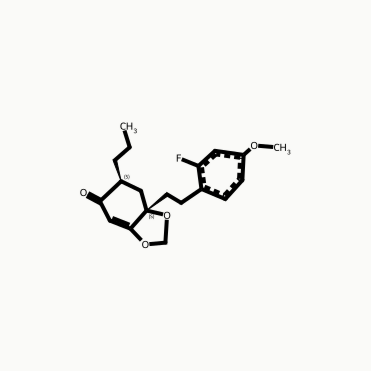 CCC[C@H]1C[C@]2(CCc3ccc(OC)cc3F)OCOC2=CC1=O